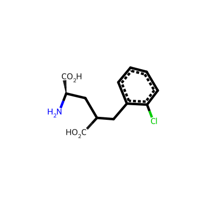 N[C@H](CC(Cc1ccccc1Cl)C(=O)O)C(=O)O